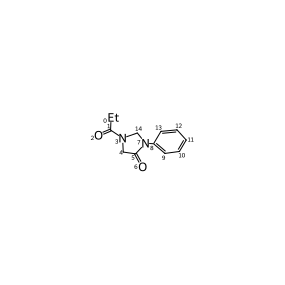 CCC(=O)N1CC(=O)N(c2ccccc2)C1